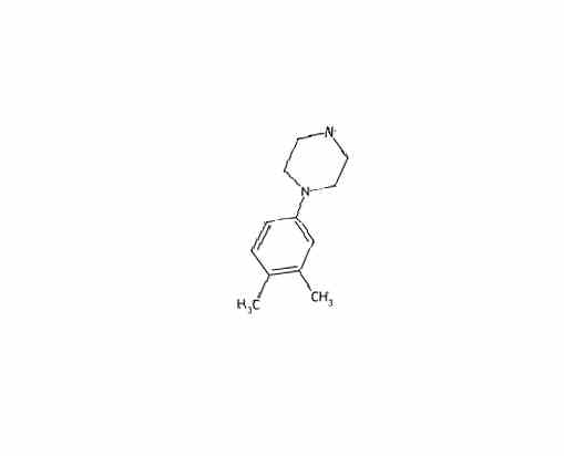 Cc1ccc(N2CC[N]CC2)cc1C